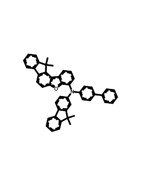 CC1(C)c2ccccc2-c2ccc(N(c3ccc(-c4ccccc4)cc3)c3cccc4c3oc3ccc5c(c34)C(C)(C)c3ccccc3-5)cc21